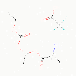 CCOC(=O)OC(C)OC(=O)[C@H](C)N.O=C(O)C(F)(F)F